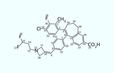 Cc1c(C2=C(c3ccc(C=C4CN(CCC(F)F)C4)cc3)c3ccc(C(=O)O)cc3CCC2)ccc(Cl)c1F